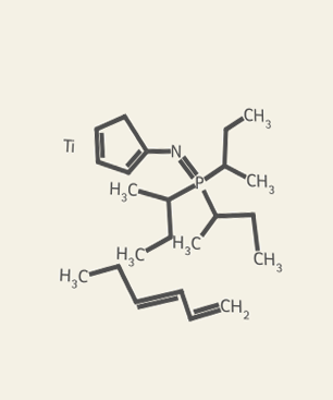 C=CC=CCC.CCC(C)P(=NC1=CC=CC1)(C(C)CC)C(C)CC.[Ti]